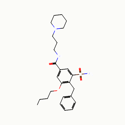 CCCCOc1cc(C(=O)NCCCN2CCCCC2)cc(S(N)(=O)=O)c1Cc1ccccc1